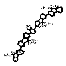 CCCCCCC1(CCCCCC)c2ccccc2-c2ccc(-c3ccc4c(c3)C(CCCCCC)(CCCCCC)c3cc(-c5ccc(-c6ccc7c(c6)C(CCCCCC)(CCCCCC)c6cc(-c8ccc9c(c8)C(CCCCCC)(CCCCCC)c8ccccc8-9)ccc6-7)c6nsnc56)ccc3-4)cc21